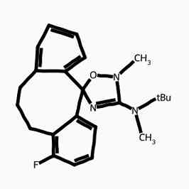 CN1OC2(N=C1N(C)C(C)(C)C)c1ccccc1CCCc1c(F)cccc12